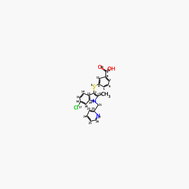 Cc1c(Sc2cccc(C(=O)O)c2)c2ccc(Cl)cc2n1Cc1ccccn1